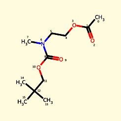 CC(=O)OCCN(C)C(=O)OCC(C)(C)C